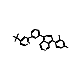 Cc1ccc(-c2ccc(-c3cccc(-c4cc(C(C)(C)C)ccn4)c3)c3ccncc23)c(C)c1